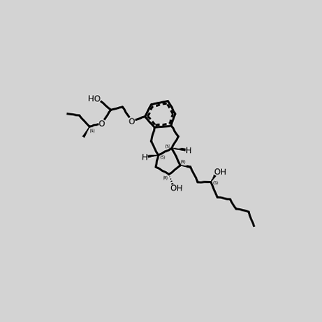 CCCCC[C@H](O)CC[C@@H]1[C@H]2Cc3cccc(OCC(O)O[C@@H](C)CC)c3C[C@H]2C[C@H]1O